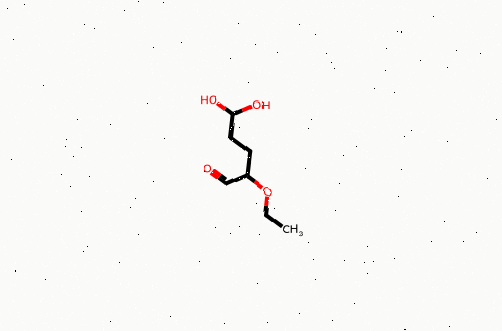 CCOC(C=O)CCC(O)O